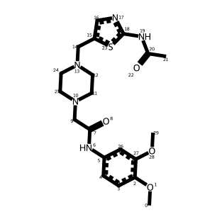 COc1ccc(NC(=O)CN2CCN(Cc3cnc(NC(C)=O)s3)CC2)cc1OC